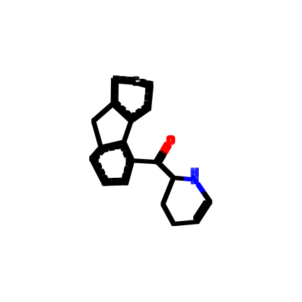 O=C(c1cccc2c1-c1ccccc1C2)C1CCC=CN1